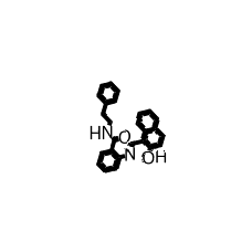 O=C(NCCc1ccccc1)c1ccccc1N=Cc1c(O)ccc2ccccc12